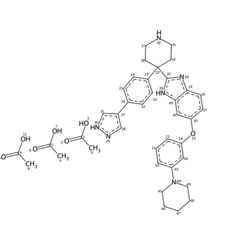 CC(=O)O.CC(=O)O.CC(=O)O.c1cc(Oc2ccc3nc(C4(c5ccc(-c6cn[nH]c6)cc5)CCNCC4)[nH]c3c2)cc(N2CCCCC2)c1